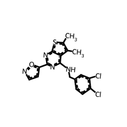 Cc1sc2nc(-c3ccno3)nc(NCc3ccc(Cl)c(Cl)c3)c2c1C